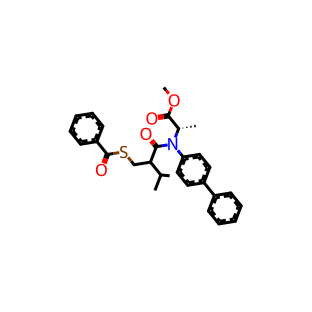 COC(=O)[C@H](C)N(C(=O)C(CSC(=O)c1ccccc1)C(C)C)c1ccc(-c2ccccc2)cc1